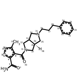 Cc1noc(C(N)=O)c1C(=O)N1CC2CN(CC[CH]c3ccccc3)C[C@H]2C1